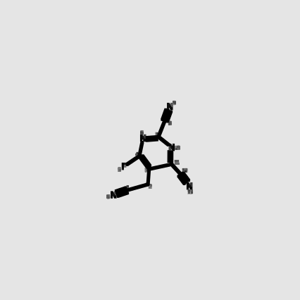 N#CCc1c(F)nc(C#N)nc1C#N